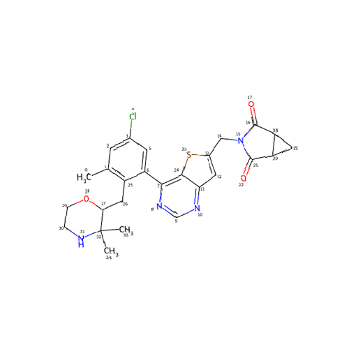 Cc1cc(Cl)cc(-c2ncnc3cc(CN4C(=O)C5CC5C4=O)sc23)c1CC1OCCNC1(C)C